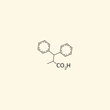 CC(C(=O)O)C(c1ccccc1)c1ccccc1